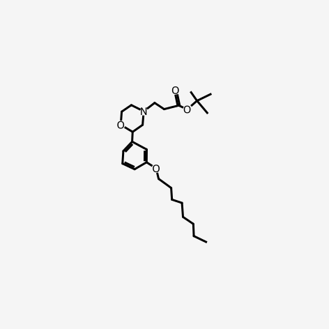 CCCCCCCCOc1cccc(C2CN(CCC(=O)OC(C)(C)C)CCO2)c1